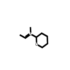 CC=S(C)C1CCCCO1